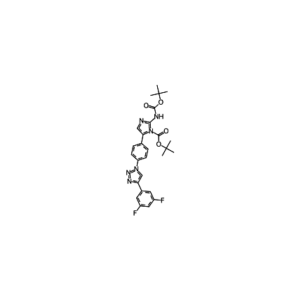 CC(C)(C)OC(=O)Nc1ncc(-c2ccc(-n3cc(-c4cc(F)cc(F)c4)nn3)cc2)n1C(=O)OC(C)(C)C